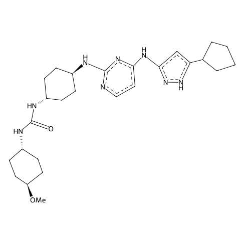 CO[C@H]1CC[C@H](NC(=O)N[C@H]2CC[C@H](Nc3nccc(Nc4cc(C5CCCC5)[nH]n4)n3)CC2)CC1